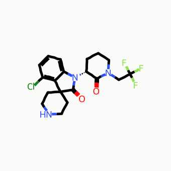 O=C1[C@H](N2C(=O)C3(CCNCC3)c3c(Cl)cccc32)CCCN1CC(F)(F)F